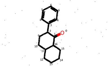 O=C1C(c2ccccc2)CCC2CCCCC12